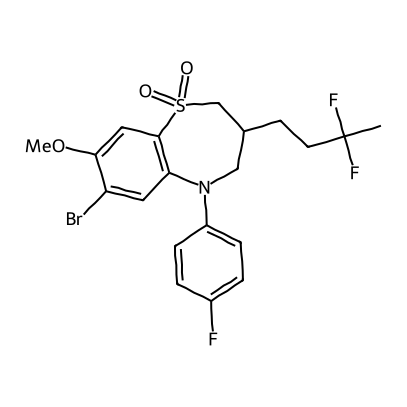 COc1cc2c(cc1Br)N(c1ccc(F)cc1)CC(CCC(C)(F)F)CS2(=O)=O